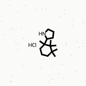 CC1(C)CCCC(C)(C2CCCN2)C1(C)C.Cl